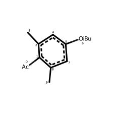 CC(=O)c1c(C)cc(OCC(C)C)cc1C